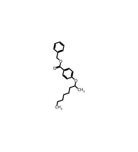 CCCCCCC(C)Oc1ccc(C(=O)OCc2ccccc2)cc1